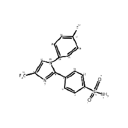 NS(=O)(=O)c1ccc(-c2nc(C(F)(F)F)cn2-c2ccc(F)cc2)cc1